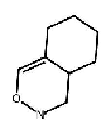 C1=C2CCCCC2C[N]O1